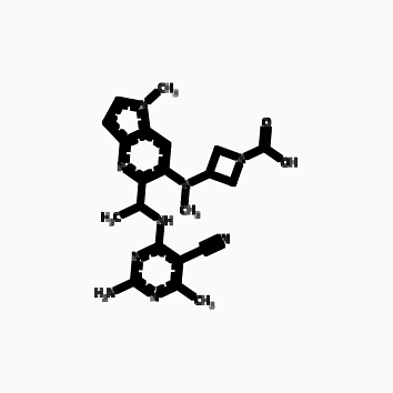 Cc1nc(N)nc(NC(C)c2nc3ccn(C)c3cc2N(C)C2CN(C(=O)O)C2)c1C#N